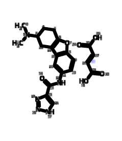 CN(C)C1CCc2oc3ccc(NC(=O)c4c[nH]nn4)cc3c2C1.O=C(O)/C=C/C(=O)O